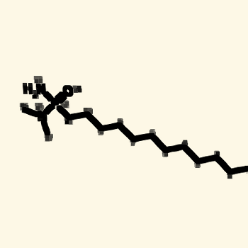 CCCCCCCCCCCCP(N)(=O)N(C)C